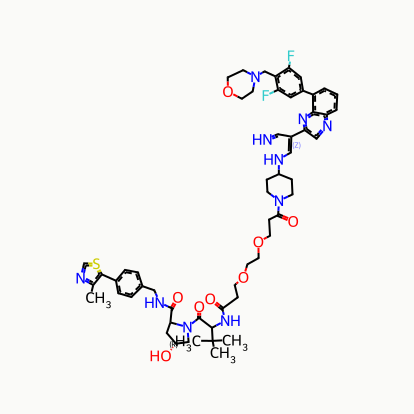 Cc1ncsc1-c1ccc(CNC(=O)C2C[C@@H](O)CN2C(=O)C(NC(=O)CCOCCOCCC(=O)N2CCC(N/C=C(\C=N)c3cnc4cccc(-c5cc(F)c(CN6CCOCC6)c(F)c5)c4n3)CC2)C(C)(C)C)cc1